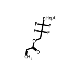 C=CC(=O)OCC(F)(F)C(F)(F)CCCCCCC